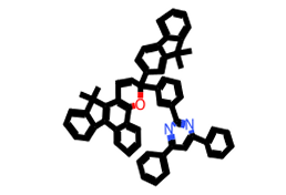 CC1(C)c2ccccc2-c2ccc(C3(c4cccc(-c5nc(-c6ccccc6)cc(-c6ccccc6)n5)c4)C=Cc4c5c(c6ccccc6c4O3)-c3ccccc3C5(C)C)cc21